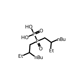 CCCCC(CC)CP(=O)(CC(CC)CCCC)P(=O)(O)O